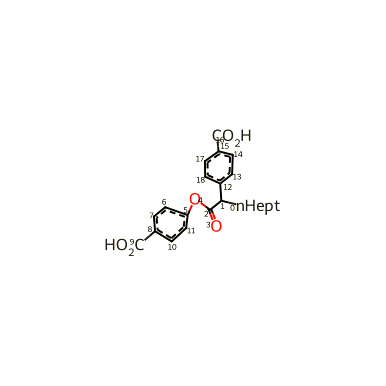 CCCCCCCC(C(=O)Oc1ccc(C(=O)O)cc1)c1ccc(C(=O)O)cc1